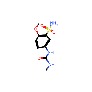 CNC(=O)Nc1ccc(OC)c(S(N)(=O)=O)c1